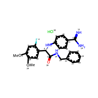 COc1cc(F)c([C@H](Nc2ccc(C(=N)N)cc2)C(=O)NCc2ccccc2)cc1OC.Cl